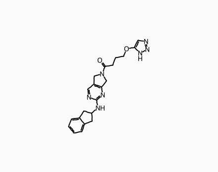 O=C(CCCOc1cnn[nH]1)N1Cc2cnc(NC3Cc4ccccc4C3)nc2C1